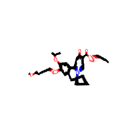 CCOC(=O)c1cn2c(cc1=O)-c1cc(OC(C)C)c(OCCCOC)cc1CC21CCC1